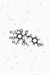 COc1c(C)c(O)c(C)c(O)c1C(=O)/C=C/c1ccc(O)cc1